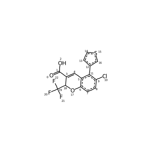 O=C(O)C1=Cc2c(ccc(Cl)c2-c2ccsc2)OC1C(F)(F)F